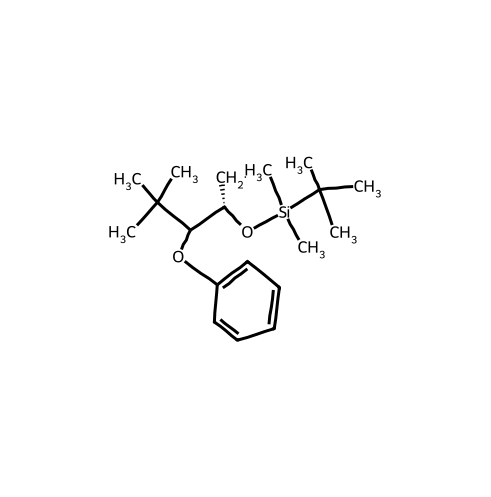 [CH2][C@H](O[Si](C)(C)C(C)(C)C)C(Oc1ccccc1)C(C)(C)C